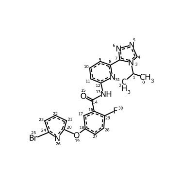 CC(C)n1cnnc1-c1cccc(NC(=O)c2cc(Oc3cccc(Br)n3)ccc2F)n1